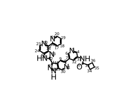 O=C(Nc1cncc(-c2cc3c(-c4nc5c(-c6ccccn6)nccc5[nH]4)n[nH]c3cn2)c1)C1CCC1